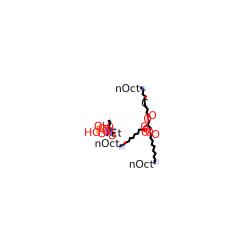 C=CCC[N+](C)([O-])OCC.CCCCCCCC/C=C\CCCCCCCC(=O)OCC(COC(=O)CCCCCCC/C=C\CCCCCCCC)OC(=O)CCCCCCC/C=C\CCCCCCCC.O=P(O)(O)O